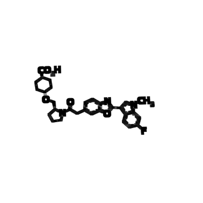 Cn1cc(-c2nc3ccc(CC(=O)N4CCC[C@H]4CO[C@H]4CC[C@H](C(=O)O)CC4)cc3o2)c2ccc(F)cc21